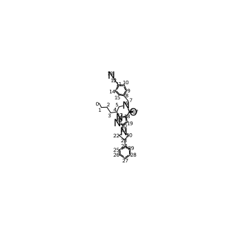 CCCCC1CN(Cc2ccc(C#N)cc2)C(=O)c2cc(N3CC(c4ccccc4)C3)nn21